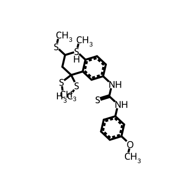 COc1cccc(NC(=S)Nc2ccc3c(c2)C(SC)(SC)CC(SC)[SH]3C)c1